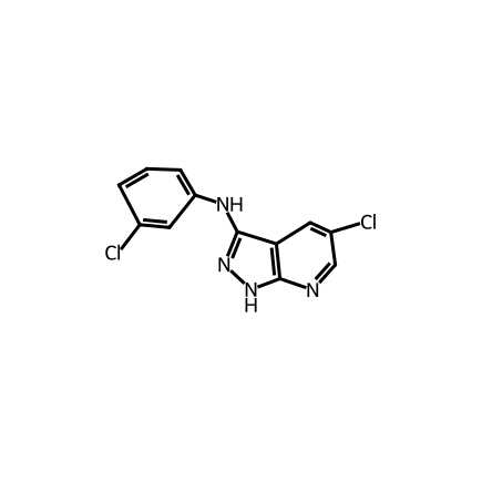 Clc1cccc(Nc2n[nH]c3ncc(Cl)cc23)c1